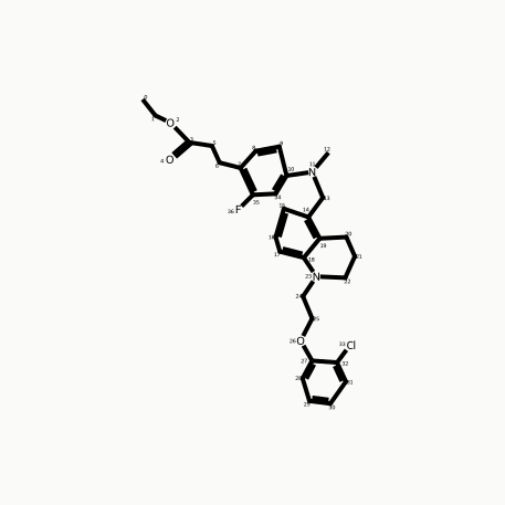 CCOC(=O)CCc1ccc(N(C)Cc2cccc3c2CCCN3CCOc2ccccc2Cl)cc1F